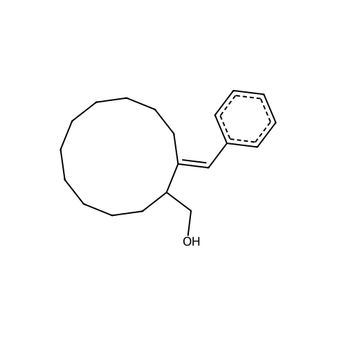 OCC1CCCCCCCCCCC1=Cc1ccccc1